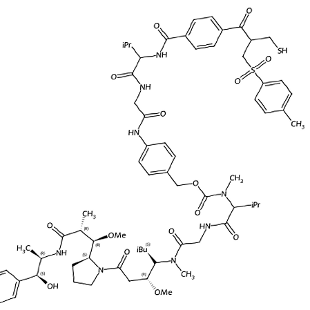 CC[C@H](C)C([C@@H](CC(=O)N1CCC[C@H]1[C@H](OC)[C@@H](C)C(=O)N[C@H](C)[C@@H](O)c1ccccc1)OC)N(C)C(=O)CNC(=O)C(C(C)C)N(C)C(=O)OCc1ccc(NC(=O)CNC(=O)C(NC(=O)c2ccc(C(=O)C(CS)CS(=O)(=O)c3ccc(C)cc3)cc2)C(C)C)cc1